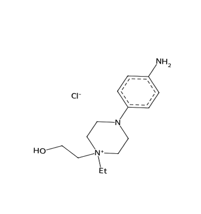 CC[N+]1(CCO)CCN(c2ccc(N)cc2)CC1.[Cl-]